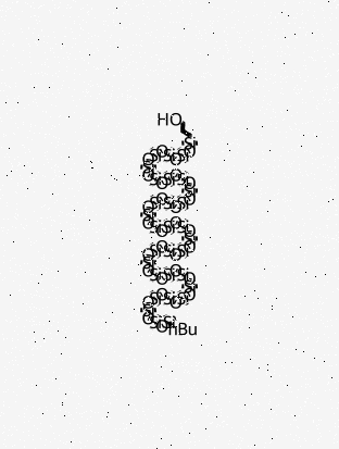 CCCC[Si](C)(C)O[Si](C)(C)O[Si](C)(C)O[Si](C)(C)O[Si](C)(C)O[Si](C)(C)O[Si](C)(C)O[Si](C)(C)O[Si](C)(C)O[Si](C)(C)O[Si](C)(C)O[Si](C)(C)O[Si](C)(C)O[Si](C)(C)O[Si](C)(C)O[Si](C)(C)O[Si](C)(C)O[Si](C)(C)O[Si](C)(C)O[Si](C)(C)O[Si](C)(C)O[Si](C)(C)O[Si](C)(C)O[Si](C)(C)O[Si](C)(C)O[Si](C)(C)O[Si](C)(C)O[Si](C)(C)O[Si](C)(C)O[Si](C)(C)O[Si](C)(C)CCCO